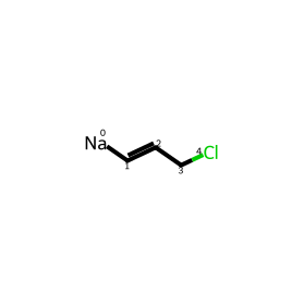 [Na][CH]=CCCl